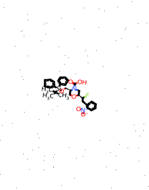 CC(C)(C)[Si](OC[C@@H]1CO[C@H](C(F)Cc2ccccc2[N+](=O)[O-])CN1C(=O)O)(c1ccccc1)c1ccccc1